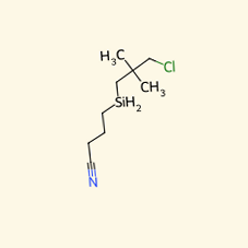 CC(C)(CCl)C[SiH2]CCCC#N